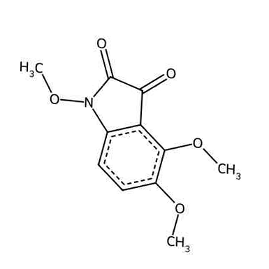 COc1ccc2c(c1OC)C(=O)C(=O)N2OC